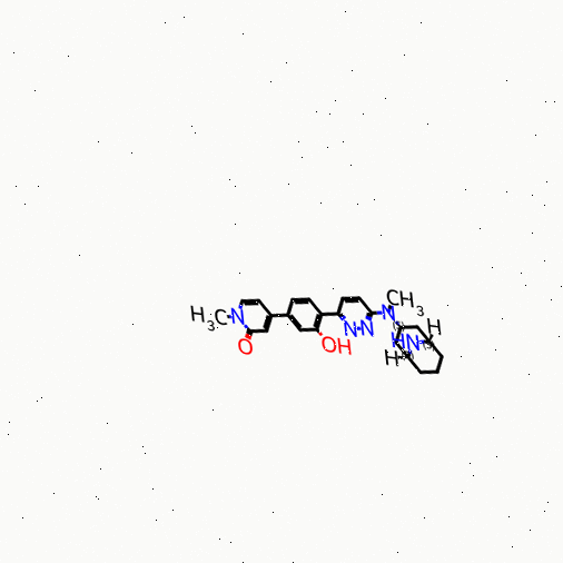 CN(c1ccc(-c2ccc(-c3ccn(C)c(=O)c3)cc2O)nn1)[C@@H]1C[C@H]2CCC[C@@H](C1)N2